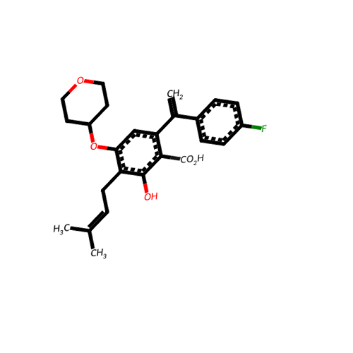 C=C(c1ccc(F)cc1)c1cc(OC2CCOCC2)c(CC=C(C)C)c(O)c1C(=O)O